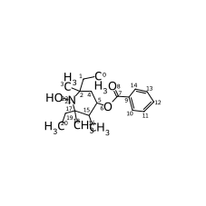 CCC1(C)CC(OC(=O)c2ccccc2)C(C)C(C)(CC)N1O